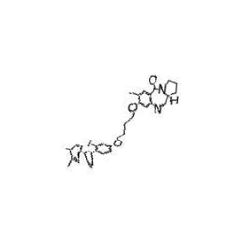 Cc1ccc(Oc2ccc(OCCCCOc3cc4c(cc3C)C(=O)N3CCC[C@H]3C=N4)cc2I)cc1C